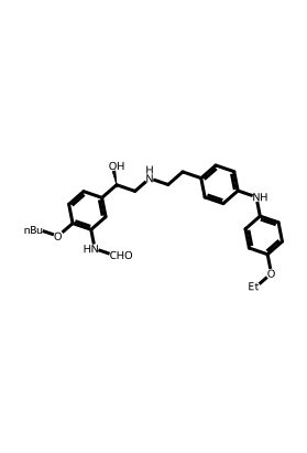 CCCCOc1ccc([C@@H](O)CNCCc2ccc(Nc3ccc(OCC)cc3)cc2)cc1NC=O